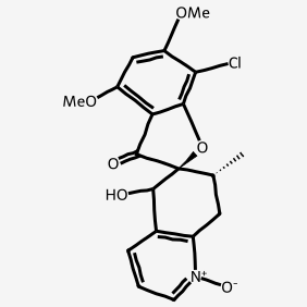 COc1cc(OC)c2c(c1Cl)O[C@]1(C2=O)C(O)c2ccc[n+]([O-])c2C[C@H]1C